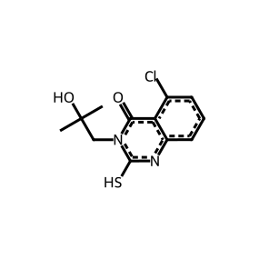 CC(C)(O)Cn1c(S)nc2cccc(Cl)c2c1=O